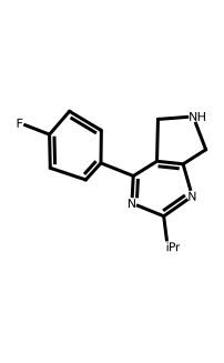 CC(C)c1nc2c(c(-c3ccc(F)cc3)n1)CNC2